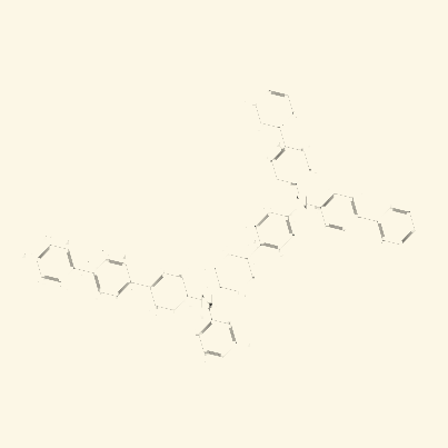 C1=CCC(C2=CCC(N(c3ccc(-c4ccccc4)cc3)c3ccc(C4CCC(N(c5ccccc5)C5CC=C(c6ccc(-c7ccccc7)cc6)CC5)CC4)cc3)CC2)CC1